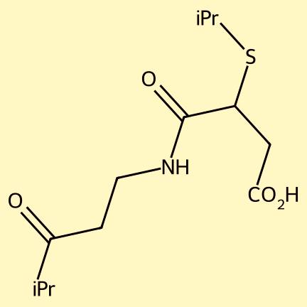 CC(C)SC(CC(=O)O)C(=O)NCCC(=O)C(C)C